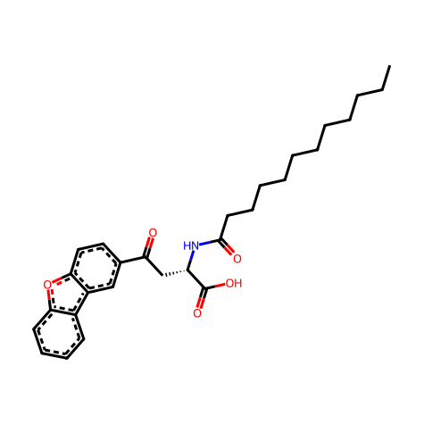 CCCCCCCCCCCC(=O)N[C@@H](CC(=O)c1ccc2oc3ccccc3c2c1)C(=O)O